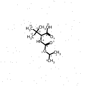 CC(C)OC(=O)N[C@H](C(=O)O)C(C)(C)C